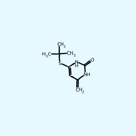 C=C1C=C(SC(C)(C)C)NC(=O)N1